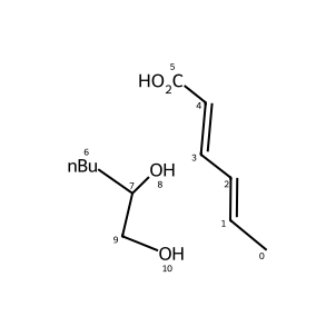 CC=CC=CC(=O)O.CCCCC(O)CO